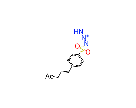 CC(=O)CCCc1ccc(S(=O)(=O)N=[N+]=N)cc1